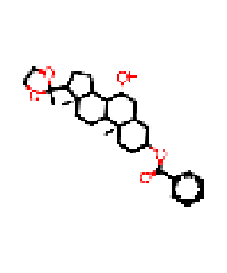 CC1(C2CCC3C4C(CC[C@@]32C)[C@@]2(C)CC[C@H](OC(=O)c3ccccc3)CC2C[C@H]4O)OCCO1